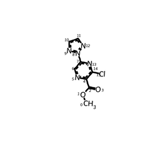 COC(=O)c1ncc(-n2nccn2)nc1Cl